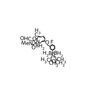 BC(CCC=O)(C(=O)NC)N1C/C=C(OCc2cc(C(B)(B)N3CC(C)(C)OC(C)(C)C3)ccc2F)/C=C\C=C(/C)C1=O